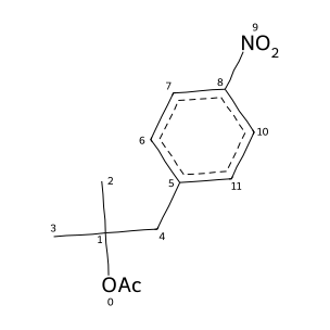 CC(=O)OC(C)(C)Cc1ccc([N+](=O)[O-])cc1